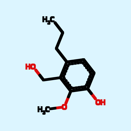 CCCc1ccc(O)c(OC)c1CO